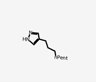 CCCCCCCCc1cn[nH]c1